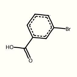 O=C(O)c1cc[c]c(Br)c1